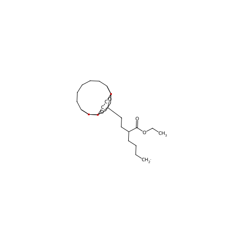 [CH2]CCCC(CC[C]1OC2CCC(O1)C1CCCCCC(CCCCC1)C2)C(=O)OCC